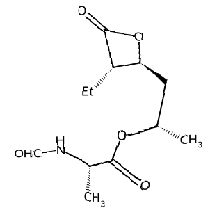 CC[C@@H]1C(=O)O[C@H]1C[C@H](C)OC(=O)[C@H](C)NC=O